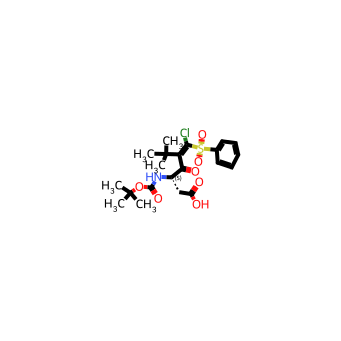 CC(C)(C)OC(=O)N[C@@H](CC(=O)O)C(=O)C(=C(Cl)S(=O)(=O)c1ccccc1)C(C)(C)C